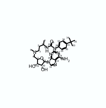 CC(CCN(C)CC1OC(n2cnc3c(N)ncnc32)[C@H](O)[C@@H]1O)NC(=O)Nc1ccc(C(C)(C)C)cc1